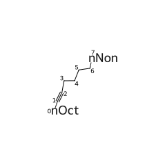 [CH2]CCCCCCCC#CCCCCCCCCCCCC[CH2]